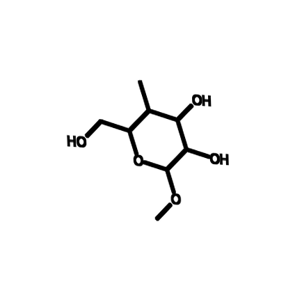 COC1OC(CO)C(C)C(O)C1O